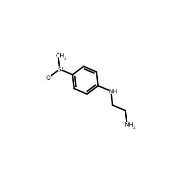 C[S+]([O-])c1ccc(NCCN)cc1